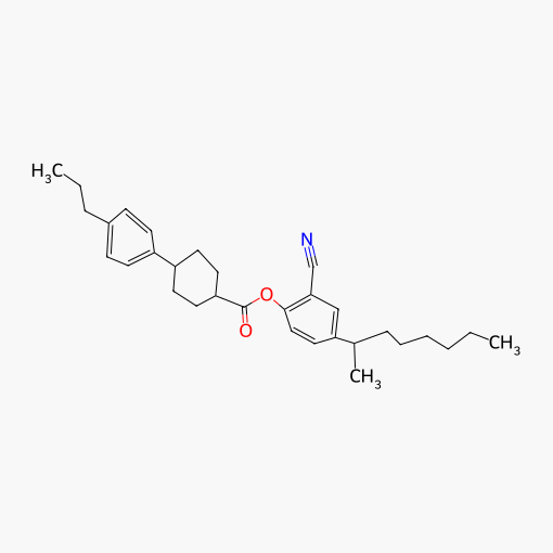 CCCCCCC(C)c1ccc(OC(=O)C2CCC(c3ccc(CCC)cc3)CC2)c(C#N)c1